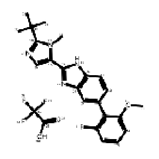 COc1cccc(F)c1-c1ccc2[nH]c(-c3cnc(C(C)(C)C)n3C)nc2c1.O=C(O)C(F)(F)F